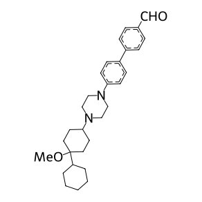 COC1(C2CCCCC2)CCC(N2CCN(c3ccc(-c4ccc(C=O)cc4)cc3)CC2)CC1